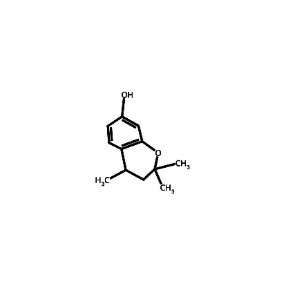 CC1CC(C)(C)Oc2cc(O)ccc21